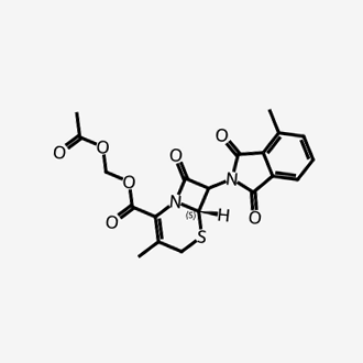 CC(=O)OCOC(=O)C1=C(C)CS[C@H]2C(N3C(=O)c4cccc(C)c4C3=O)C(=O)N12